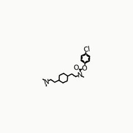 CN(C)CCC1CCC(CCN(C)C(=O)Oc2ccc(Cl)cc2)CC1